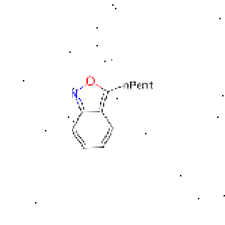 CCCCCc1onc2ccccc12